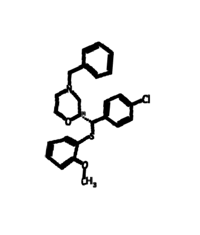 COc1ccccc1SC(c1ccc(Cl)cc1)[C@H]1CN(Cc2ccccc2)CCO1